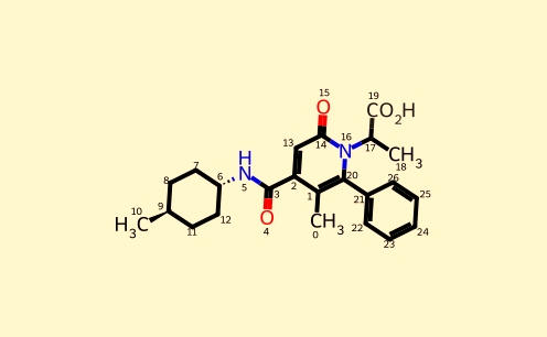 Cc1c(C(=O)N[C@H]2CC[C@H](C)CC2)cc(=O)n(C(C)C(=O)O)c1-c1ccccc1